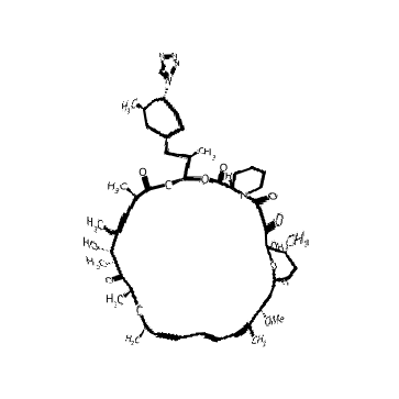 CO[C@H]1C[C@@H]2CC[C@@H](C)[C@@](O)(O2)C(=O)C(=O)N2CCCC[C@H]2C(=O)O[C@H]([C@H](C)C[C@@H]2CC[C@@H](n3cnnn3)[C@H](C)C2)CC(=O)[C@H](C)/C=C(\C)[C@@H](O)[C@@H](C)C(=O)[C@H](C)C[C@H](C)/C=C/C=C/C=C/1C